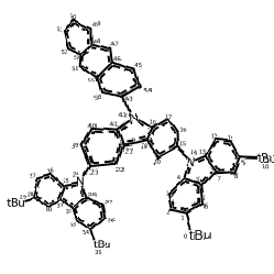 CC(C)(C)c1ccc2c(c1)c1cc(C(C)(C)C)ccc1n2-c1ccc2c(c1)c1cc(-n3c4ccc(C(C)(C)C)cc4c4cc(C(C)(C)C)ccc43)ccc1n2-c1ccc2cc3ccccc3cc2c1